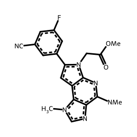 CNc1nc2c(cc(-c3cc(F)cc(C#N)c3)n2CC(=O)OC)c2c1ncn2C